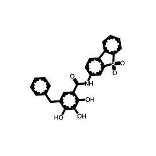 O=C(Nc1ccc2c(c1)S(=O)(=O)c1ccccc1-2)c1cc(Cc2ccccc2)c(O)c(O)c1O